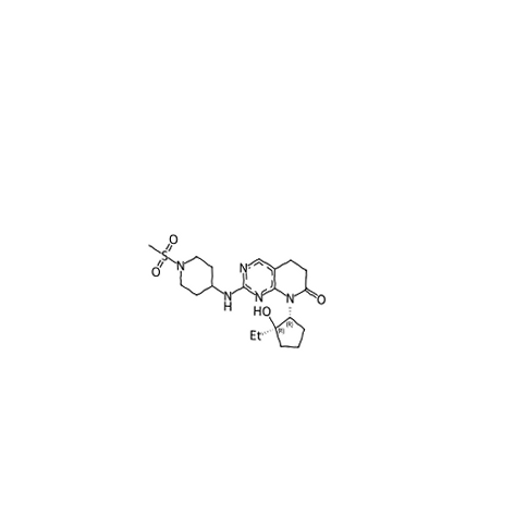 CC[C@@]1(O)CCC[C@H]1N1C(=O)CCc2cnc(NC3CCN(S(C)(=O)=O)CC3)nc21